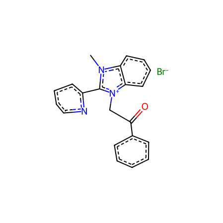 Cn1c(-c2ccccn2)[n+](CC(=O)c2ccccc2)c2ccccc21.[Br-]